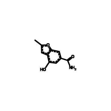 Cc1cc2c(O)cc(C(N)=O)cc2o1